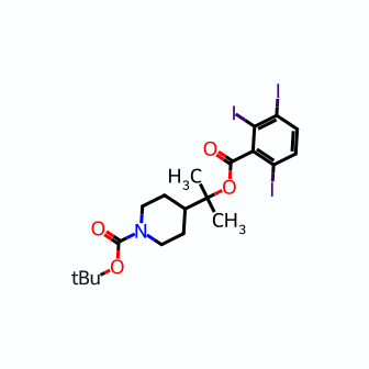 CC(C)(C)OC(=O)N1CCC(C(C)(C)OC(=O)c2c(I)ccc(I)c2I)CC1